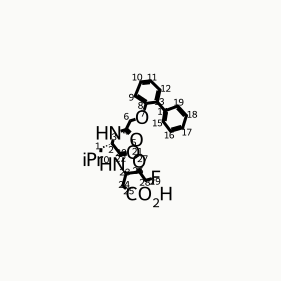 CC(C)C[C@H](NC(=O)COc1ccccc1-c1ccccc1)C(=O)NC(CC(=O)O)C(=O)CF